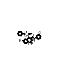 O=C(ON1C=COc2c(c(C(F)(F)F)nn2-c2cccc(Cl)c2)C1c1cccc(Br)c1)c1ccccc1